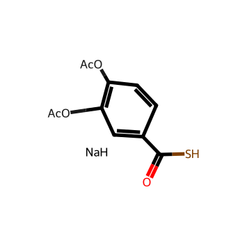 CC(=O)Oc1ccc(C(=O)S)cc1OC(C)=O.[NaH]